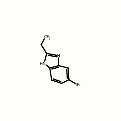 CC(C)c1ccc2[nH]c(CC(F)(F)F)nc2c1